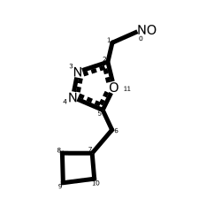 O=NCc1nnc(CC2CCC2)o1